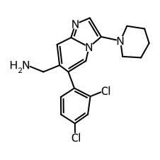 NCc1cc2ncc(N3CCCCC3)n2cc1-c1ccc(Cl)cc1Cl